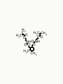 C=C(C)C(=O)OCCNC(=O)OCC1CCC(C)C(C)C1COC(=O)NCCOC(=O)C(=C)C